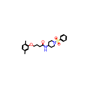 Cc1ccc(C)c(OCCCC(=O)NC2CCN(S(=O)(=O)c3ccccc3)CC2)c1